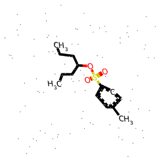 CCCC(CCC)OS(=O)(=O)c1ccc(C)cc1